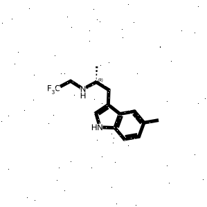 Cc1ccc2[nH]cc(C[C@@H](C)NCC(F)(F)F)c2c1